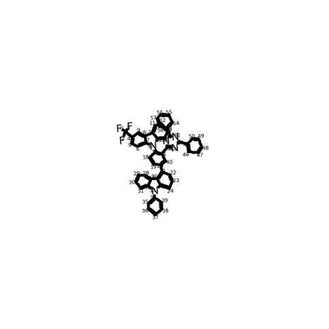 FC(F)(F)c1ccc2c(c1)c1ccccc1n2-c1ccc(-c2cccc3c2c2ccccc2n3-c2ccccc2)cc1-c1nc(-c2ccccc2)nc(-c2ccccc2)n1